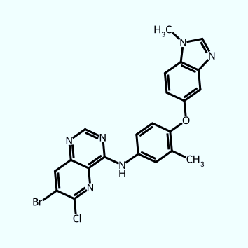 Cc1cc(Nc2ncnc3cc(Br)c(Cl)nc23)ccc1Oc1ccc2c(c1)ncn2C